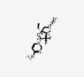 CC[C@@]1(CN=[N+]=[N-])O[C@@H](N2C=CC(N)=NC2)C(F)(F)[C@@H]1C